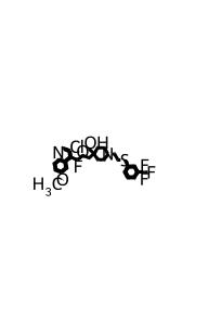 COc1ccc2ncc(Cl)c(C(F)CCC3(C(=O)O)CCN(CCSc4cccc(C(F)(F)F)c4)CC3)c2c1